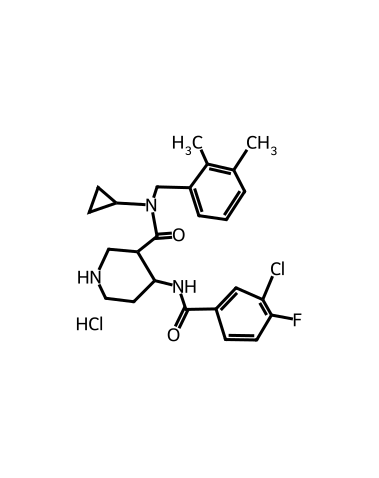 Cc1cccc(CN(C(=O)C2CNCCC2NC(=O)c2ccc(F)c(Cl)c2)C2CC2)c1C.Cl